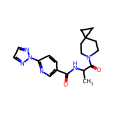 CC(NC(=O)c1ccc(-n2nccn2)nc1)C(=O)N1CCC2(CC1)CC2